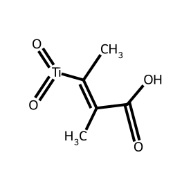 CC(C(=O)O)=[C](C)[Ti](=[O])=[O]